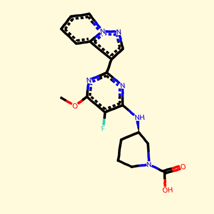 COc1nc(-c2cnn3ccccc23)nc(N[C@@H]2CCCN(C(=O)O)C2)c1F